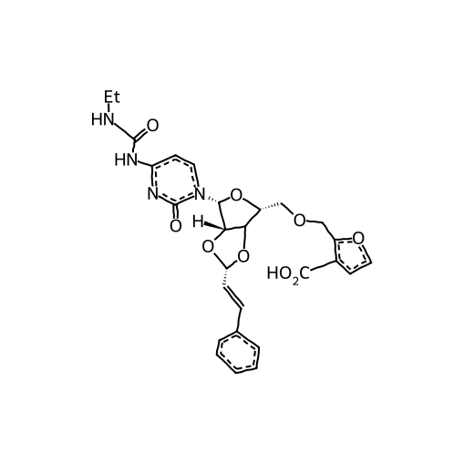 CCNC(=O)Nc1ccn([C@@H]2O[C@H](COCc3occc3C(=O)O)C3O[C@H](/C=C/c4ccccc4)O[C@@H]32)c(=O)n1